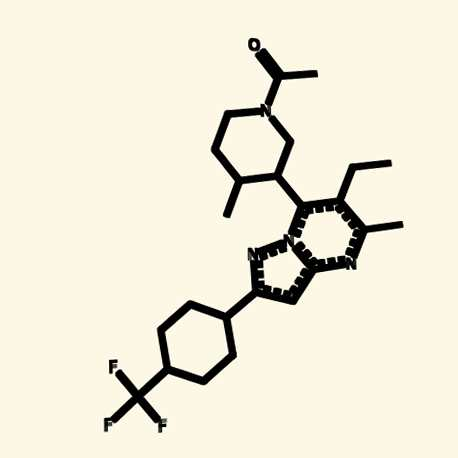 CCc1c(C)nc2cc(C3CCC(C(F)(F)F)CC3)nn2c1C1CN(C(C)=O)CCC1C